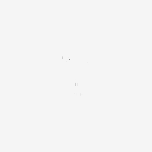 CC[SH](CC)C(N)=S.[NaH]